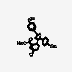 COC(=O)c1cc(Cl)ccc1-c1cc(-c2ccc(C(C)(C)C)cc2)sc1-c1ccc(C(C)(C)C)cc1